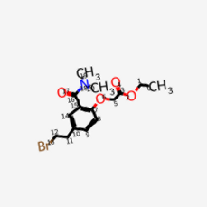 CCOC(=O)COc1ccc(CCBr)cc1C(=O)N(C)C